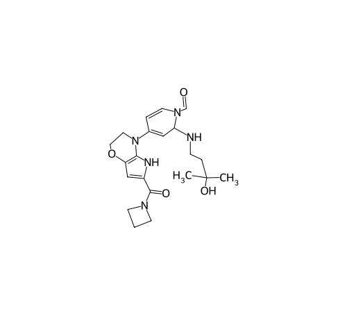 CC(C)(O)CCNC1C=C(N2CCOc3cc(C(=O)N4CCC4)[nH]c32)C=CN1C=O